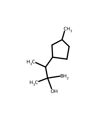 BC(C)(O)C(C)C1CCC(C)C1